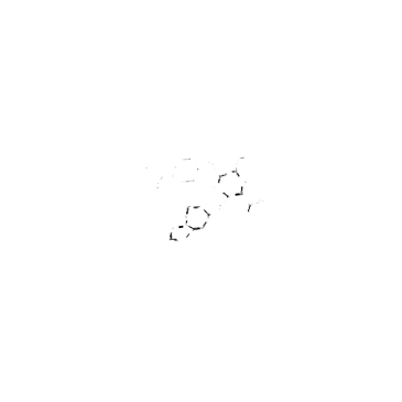 CCc1nc(C(N)=O)c(Nc2ccc3ncsc3c2)nc1NC1CCC(N(CC)CC)CC1